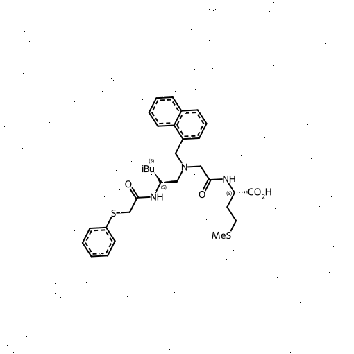 CC[C@H](C)[C@@H](CN(CC(=O)N[C@@H](CCSC)C(=O)O)Cc1cccc2ccccc12)NC(=O)CSc1ccccc1